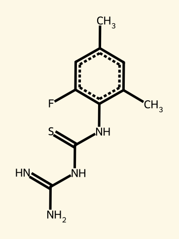 Cc1cc(C)c(NC(=S)NC(=N)N)c(F)c1